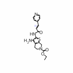 CCOC(=O)N1CCc2c(sc(NC(=O)/C=C/c3ccncc3)c2N)C1